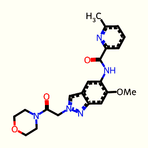 COc1cc2nn(CC(=O)N3CCOCC3)cc2cc1NC(=O)c1cccc(C)n1